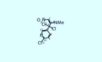 CN/C(=C/[N+](=O)[O-])C(Cl)(Cl)c1ccc(Cl)nc1